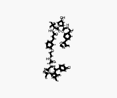 Cc1ncsc1-c1ccc([C@H](C)NC(=O)[C@@H]2C[C@@H](O)CN2C(=O)[C@@H](NC(=O)/C=C/c2cccc(OCCNC(=O)C[C@@H]3N=C(c4ccc(Cl)cc4)c4c(sc(C)c4C)-n4c(C)nnc43)c2)C(C)(C)C)cc1